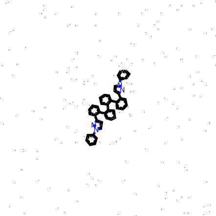 c1ccc(-n2ccc(-c3ccccc3-c3ccccc3-c3ccccc3-c3ccccc3-c3ccn(-c4ccccc4)n3)n2)cc1